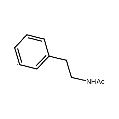 CC(=O)NCCc1c[c]ccc1